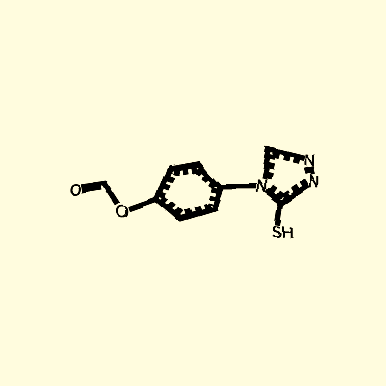 O=COc1ccc(-n2cnnc2S)cc1